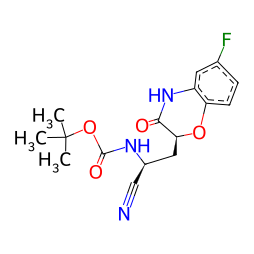 CC(C)(C)OC(=O)N[C@H](C#N)C[C@@H]1Oc2ccc(F)cc2NC1=O